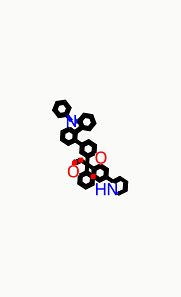 C1=CCNC(c2ccc3c(c2)Oc2ccc(-c4cccc5c4c4ccccc4n5-c4ccccc4)cc2C32c3ccccc3Oc3ccccc32)=C1